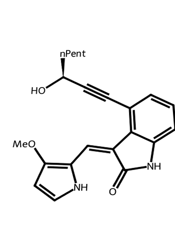 CCCCC[C@H](O)C#Cc1cccc2c1/C(=C/c1[nH]ccc1OC)C(=O)N2